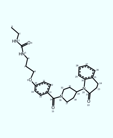 CCNC(=O)NCCCOc1ccc(C(=O)N2CCC(N3C(=O)CCc4ccccc43)CC2)cc1